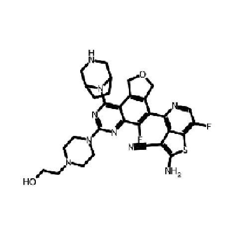 N#Cc1c(N)sc2c(F)cnc(-c3c4c(c5c(N6C7CCC6CNC7)nc(N6CCN(CCO)CC6)nc5c3F)COC4)c12